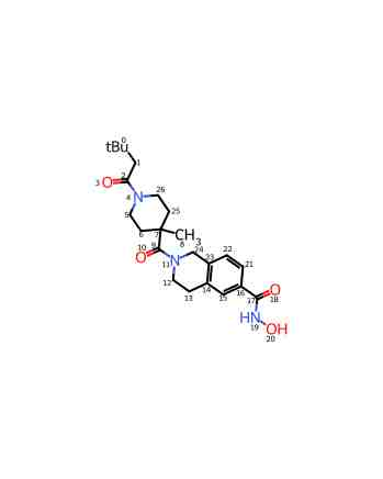 CC(C)(C)CC(=O)N1CCC(C)(C(=O)N2CCc3cc(C(=O)NO)ccc3C2)CC1